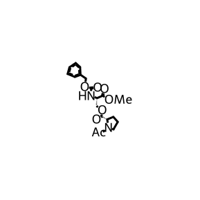 COC(=O)[C@H](COC(=O)[C@@H]1CCCN1C(C)=O)NC(=O)OCc1ccccc1